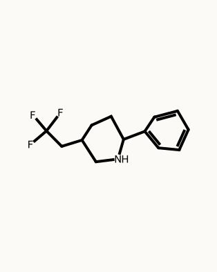 FC(F)(F)CC1CCC(c2ccccc2)NC1